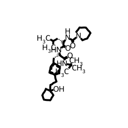 CC(C)C[C@H](NC(=O)N1CCCCCC1)C(=O)N[C@@H](Cc1ccc(CCC2(O)CCCCC2)cc1)C(=O)NC(C)(C)C